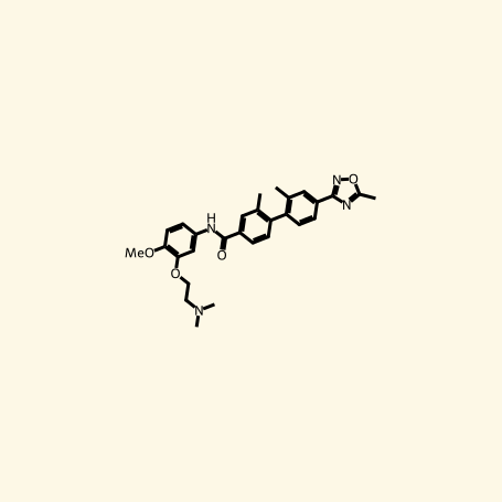 COc1ccc(NC(=O)c2ccc(-c3ccc(-c4noc(C)n4)cc3C)c(C)c2)cc1OCCN(C)C